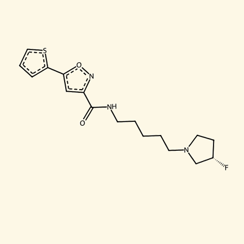 O=C(NCCCCCN1CC[C@H](F)C1)c1cc(-c2cccs2)on1